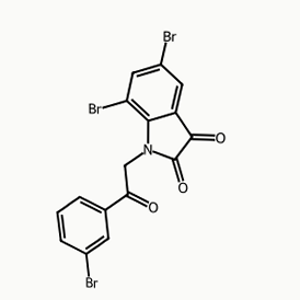 O=C(CN1C(=O)C(=O)c2cc(Br)cc(Br)c21)c1cccc(Br)c1